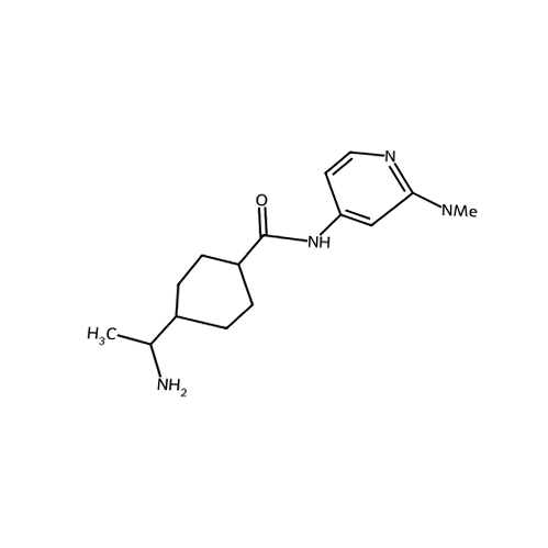 CNc1cc(NC(=O)C2CCC(C(C)N)CC2)ccn1